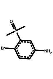 CP(C)(=O)c1cc(N)ccc1Br